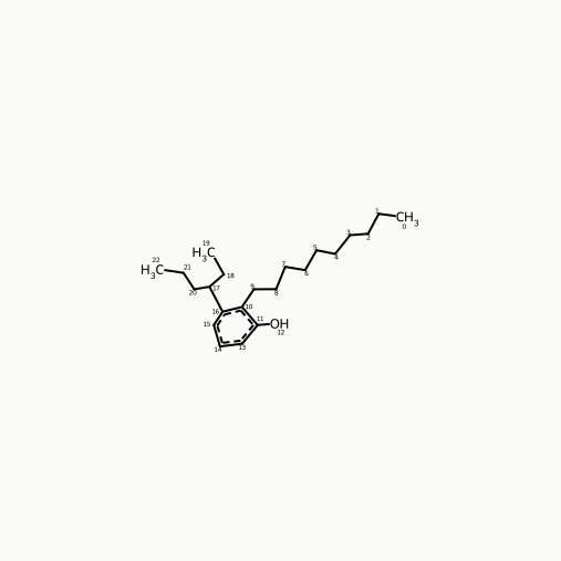 CCCCCCCCCCc1c(O)cccc1C(CC)CCC